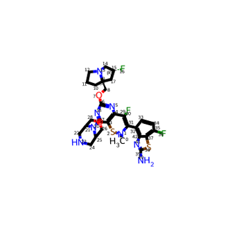 CN1Sc2c(nc(OC[C@@]34CCCN3C[C@H](F)C4)nc2N2C3CNCC2COC3)C(F)=C1c1ccc(F)c2sc(N)nc12